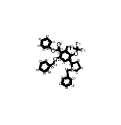 Cc1c(OC(F)(F)F)c(C2CCCN2Cc2ccccc2)cc(OCc2ccccc2)c1C(=O)Oc1ccccc1